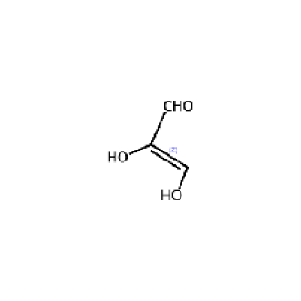 O=C/C(O)=C/O